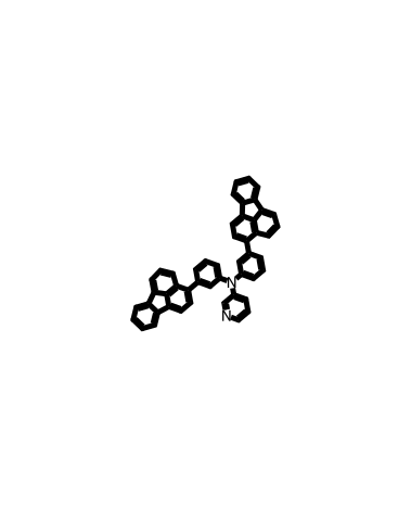 c1cncc(N(c2cccc(-c3ccc4c5c(cccc35)-c3ccccc3-4)c2)c2cccc(-c3ccc4c5c(cccc35)-c3ccccc3-4)c2)c1